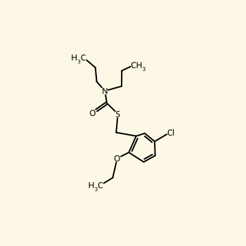 CCCN(CCC)C(=O)SCc1cc(Cl)ccc1OCC